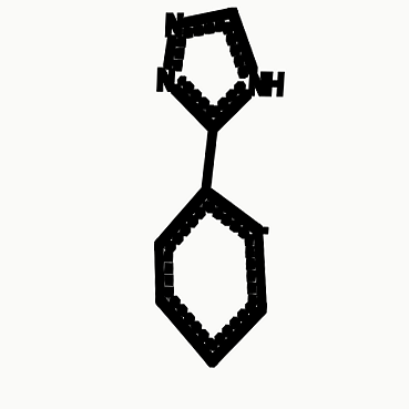 [c]1ccccc1-c1nnc[nH]1